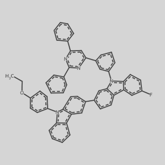 CCOc1ccc(-n2c3ccccc3c3cc(-c4ccc5c6cc(F)ccc6n(-c6cccc(-c7cc(-c8ccccc8)nc(-c8ccccc8)n7)c6)c5c4)ccc32)cc1